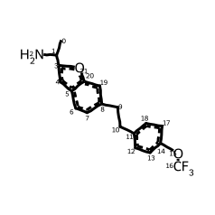 CC(N)c1cc2ccc(CCc3ccc(OC(F)(F)F)cc3)cc2o1